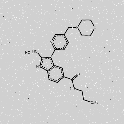 COCCNC(=O)c1ccc2[nH]c(O)c(-c3ccc(CN4CCOCC4)cn3)c2c1.Cl